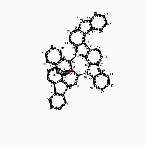 c1ccc2c(c1)-c1cccc3cc(-n4c5ccccc5c5ccc6c7c8c(ccc7n(-c7cccc9ccccc79)c6c54)oc4ccccc48)cc-2c13